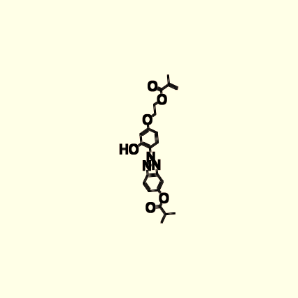 C=C(C)C(=O)OCCOc1ccc(-n2n3c4ccc(OC(=O)C(C)C)cc4n23)c(O)c1